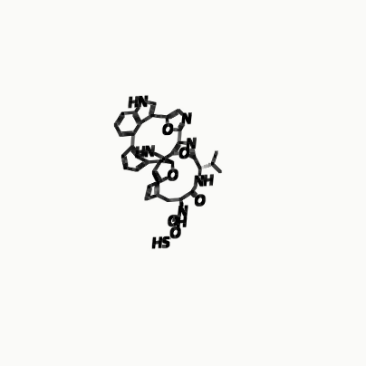 CC(C)[C@@H]1NC(=O)[C@@H](NOOS)Cc2ccc3c(c2)C24c5cccc(c5NC2O3)-c2cccc3[nH]cc(c23)-c2cnc(o2)-c2nc1oc24